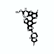 CC(C)(C)OC(=O)Nc1sc2c(F)cnc(-c3c4c(c5cnc(N6CCN7C[C@@H](F)C[C@H]7C6)nc5c3F)COC4)c2c1C#N